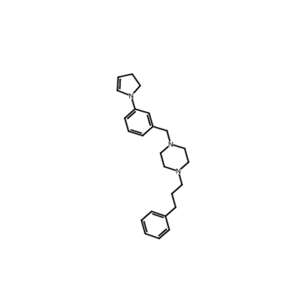 C1=CN(c2cccc(CN3CCN(CCCc4ccccc4)CC3)c2)CC1